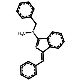 CN(Cc1ccccc1)C1=N/C(=C\c2ccccc2)c2ccccc21